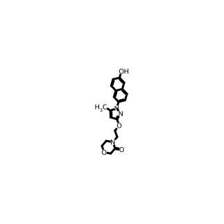 Cc1cc(OCCN2CCOCC2=O)nn1-c1ccc2cc(O)ccc2c1